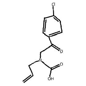 C=CCN(CC(=O)c1ccc(Cl)cc1)C(=O)O